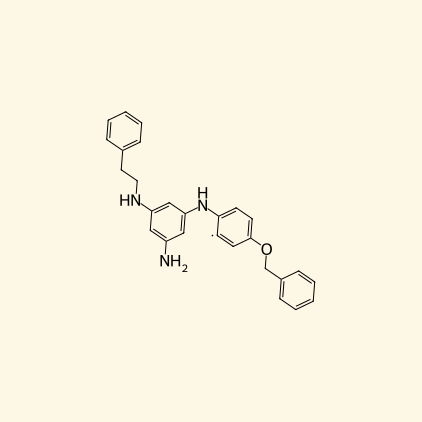 Nc1cc(NCCc2ccccc2)cc(Nc2[c]cc(OCc3ccccc3)cc2)c1